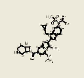 COc1cc(C(=O)N2C[C@@H]3CCNCC32)cc2nc(-c3cc4ccc(N(C(F)F)S(C)(=O)=O)nc4n3CC3CC3)c(C)n12